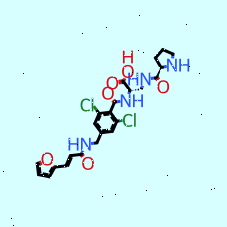 O=C(/C=C/c1ccco1)NCc1cc(Cl)c(C(=O)N[C@@H](CNC(=O)[C@H]2CCCN2)C(=O)O)c(Cl)c1